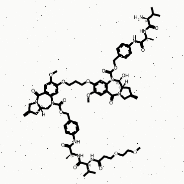 C=C1C[C@H]2CN(C(=O)OCc3ccc(NC(=O)[C@H](C)NC(=O)[C@@H](NC(=O)CCOCCOC)C(C)C)cc3)c3cc(OCCCOc4cc5c(cc4OC)C(=O)N4CC(=C)C[C@H]4[C@H](O)N5C(=O)OCc4ccc(NC(=O)[C@H](C)NC(=O)[C@@H](N)C(C)C)cc4)c(OC)cc3C(=O)N2C1